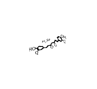 COc1cc(/C=C/C(=O)CC(=O)/C=C/c2ccc(O)c(OC)c2)ccc1O.[SeH2]